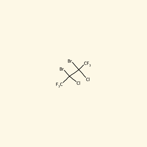 FC(F)(F)C(Cl)(Br)C(Cl)(Br)C(F)(F)F